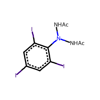 CC(=O)NN(NC(C)=O)c1c(I)cc(I)cc1I